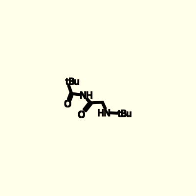 CC(C)(C)NCC(=O)NC(=O)C(C)(C)C